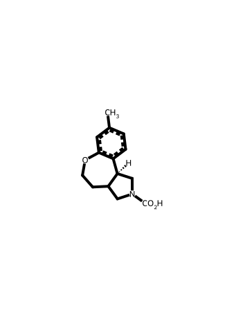 Cc1ccc2c(c1)OCCC1CN(C(=O)O)C[C@H]21